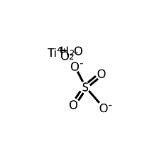 O.O=S(=O)([O-])[O-].[O-2].[Ti+4]